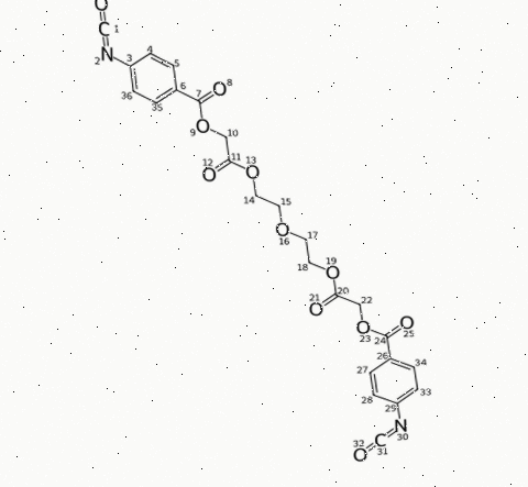 O=C=Nc1ccc(C(=O)OCC(=O)OCCOCCOC(=O)COC(=O)c2ccc(N=C=O)cc2)cc1